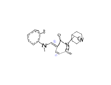 C=C/C=C\C(=C/N(C)c1ccccc1F)C(=O)NC1CN2CCC1CC2